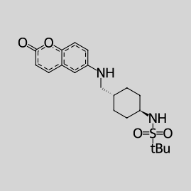 CC(C)(C)S(=O)(=O)N[C@H]1CC[C@H](CNc2ccc3oc(=O)ccc3c2)CC1